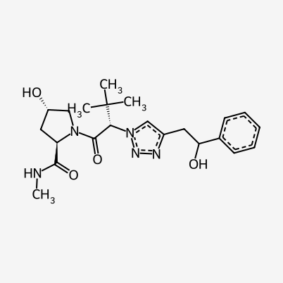 CNC(=O)[C@H]1C[C@H](O)CN1C(=O)[C@@H](n1cc(CC(O)c2ccccc2)nn1)C(C)(C)C